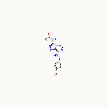 COc1ccc(CNc2nccn3c(NC(=O)O)nnc23)cc1